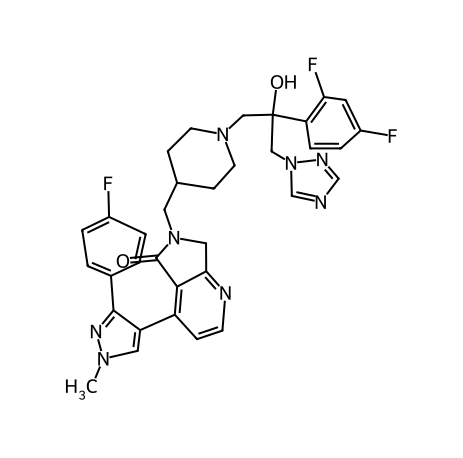 Cn1cc(-c2ccnc3c2C(=O)N(CC2CCN(CC(O)(Cn4cncn4)c4ccc(F)cc4F)CC2)C3)c(-c2ccc(F)cc2)n1